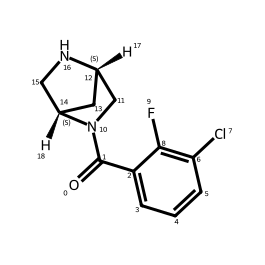 O=C(c1cccc(Cl)c1F)N1C[C@@H]2C[C@H]1CN2